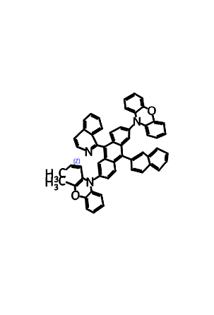 C/C=C\C1=C(C)Oc2ccccc2N1c1ccc2c(-c3ccc4ccccc4c3)c3cc(N4c5ccccc5Oc5ccccc54)ccc3c(-c3nccc4ccccc34)c2c1